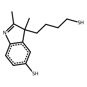 CC1=Nc2ccc(S)cc2C1(C)CCCCS